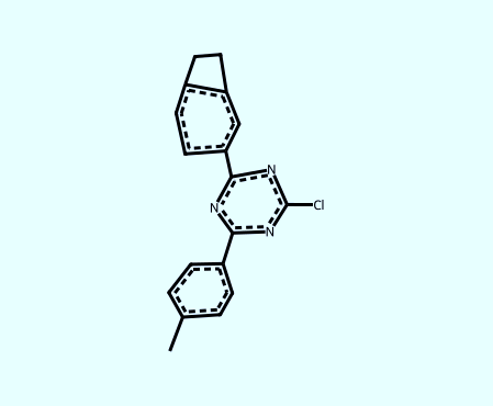 Cc1ccc(-c2nc(Cl)nc(-c3ccc4c(c3)CC4)n2)cc1